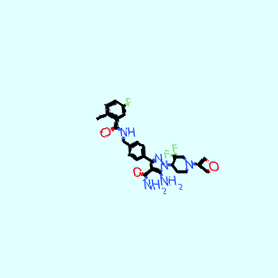 Cc1ccc(F)cc1C(=O)NCc1ccc(-c2nn(C3CCN(C4COC4)CC3(F)F)c(N)c2C(N)=O)cc1